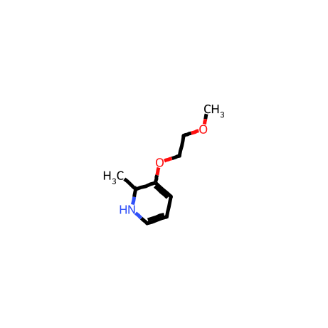 COCCOC1=CC=CN[C]1C